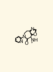 CNC1C(=O)N(c2ccccn2)CCc2ncoc21